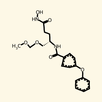 COCOC[C@H](CCC(=O)NO)NC(=O)c1ccc(Oc2ccccc2)cc1